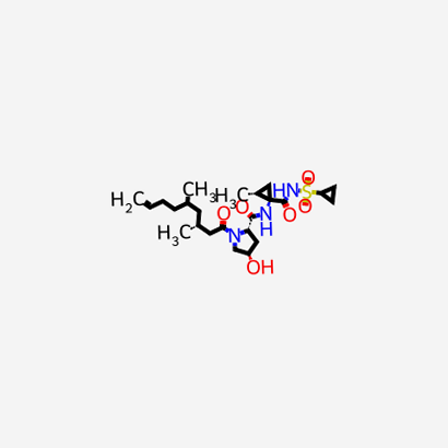 C=CCCC(C)C[C@@H](C)CC(=O)N1C[C@H](O)C[C@H]1C(=O)N[C@]1(C(=O)NS(=O)(=O)C2CC2)C[C@H]1C